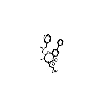 C[C@@H]1CN([C@@H](C)CO)S(=O)(=O)c2ccc(C3=C=CC=C3)cc2O[C@H]1CN(C)Cc1cccnc1